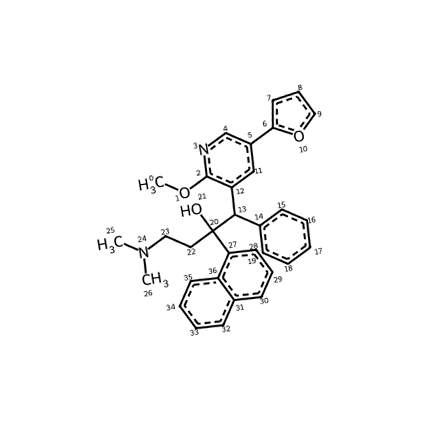 COc1ncc(-c2ccco2)cc1C(c1ccccc1)C(O)(CCN(C)C)c1cccc2ccccc12